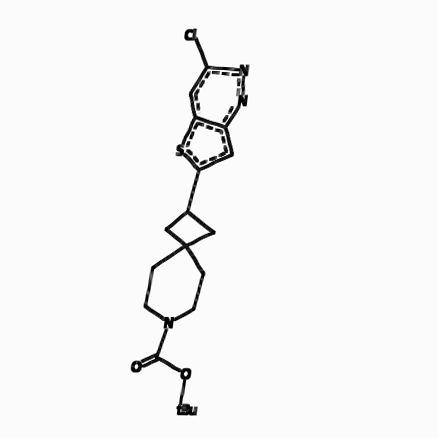 CC(C)(C)OC(=O)N1CCC2(CC1)CC(c1cc3nnc(Cl)cc3s1)C2